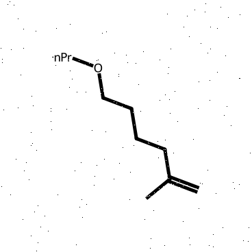 C=C(C)CCCCO[CH]CC